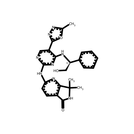 Cc1nnc(-c2cnc(Nc3ccc4c(n3)C(C)(C)NC4=O)nc2N[C@H](CO)c2ccccc2)o1